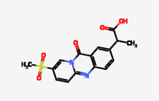 CC(C(=O)O)c1ccc2nc3ccc(S(C)(=O)=O)cn3c(=O)c2c1